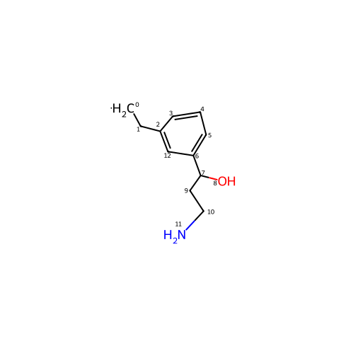 [CH2]Cc1cccc(C(O)CCN)c1